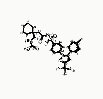 Cc1ccc(-c2cc(C(F)(F)F)nn2-c2ccc(S(=O)(=O)NC(=O)CC3(CNC(=O)O)CCCCC3)cc2)cc1